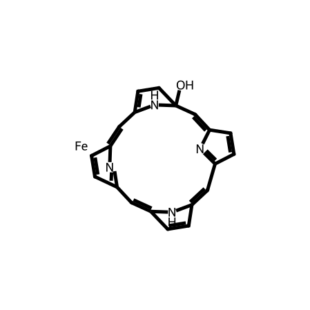 OC12C=C3C=CC(=N3)C=c3ccc([nH]3)=CC3=NC(=CC(=CC1)N2)C=C3.[Fe]